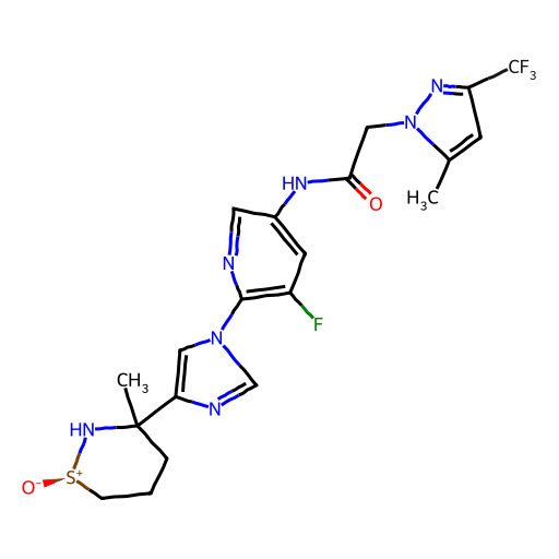 Cc1cc(C(F)(F)F)nn1CC(=O)Nc1cnc(-n2cnc(C3(C)CCC[S@@+]([O-])N3)c2)c(F)c1